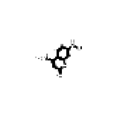 CCCCCc1cc(=O)oc2cc(NCC)ccc12